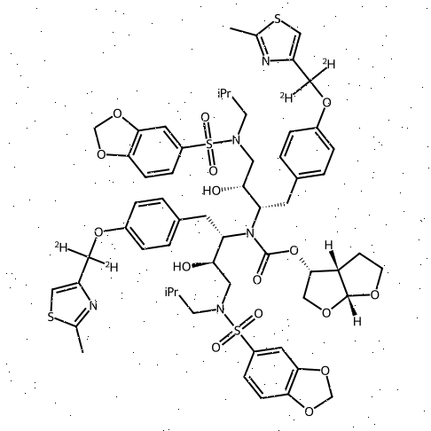 [2H]C([2H])(Oc1ccc(C[C@@H]([C@H](O)CN(CC(C)C)S(=O)(=O)c2ccc3c(c2)OCO3)N(C(=O)O[C@H]2CO[C@H]3OCC[C@H]32)[C@@H](Cc2ccc(OC([2H])([2H])c3csc(C)n3)cc2)[C@H](O)CN(CC(C)C)S(=O)(=O)c2ccc3c(c2)OCO3)cc1)c1csc(C)n1